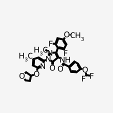 COc1cc(F)c(-c2c(NC(=O)c3ccc(OC(F)F)cc3)c(=O)n(-c3cc(C)cc(OC4CCOC4)n3)n2C)c(F)c1